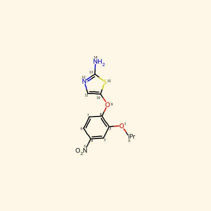 CC(C)Oc1cc([N+](=O)[O-])ccc1Oc1cnc(N)s1